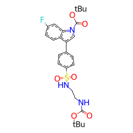 CC(C)(C)OC(=O)NCCNS(=O)(=O)c1ccc(-c2cn(C(=O)OC(C)(C)C)c3cc(F)ccc23)cc1